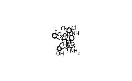 CCC(C)[C@H](NC(=O)[C@@]1(NC(=O)[C@H](CCc2ccc(O)cc2)N(Cc2cccc(F)c2)C(=O)O)CCc2[nH]c3c(Cl)cc(Cl)cc3c2C1)C(N)=S